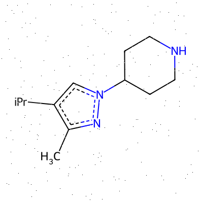 Cc1nn(C2CCNCC2)cc1C(C)C